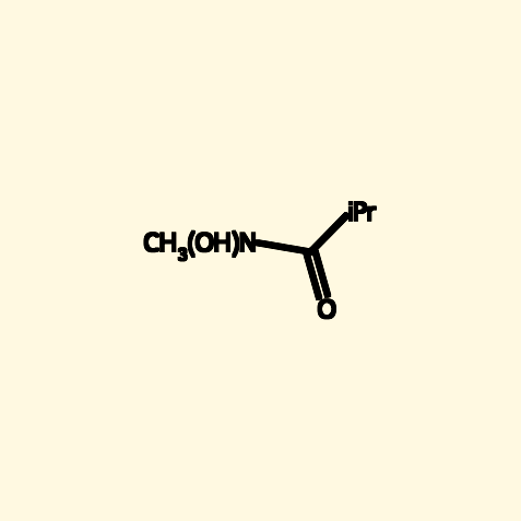 CC(C)C(=O)N(C)O